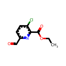 CCOC(=O)c1nc(C=O)ccc1Cl